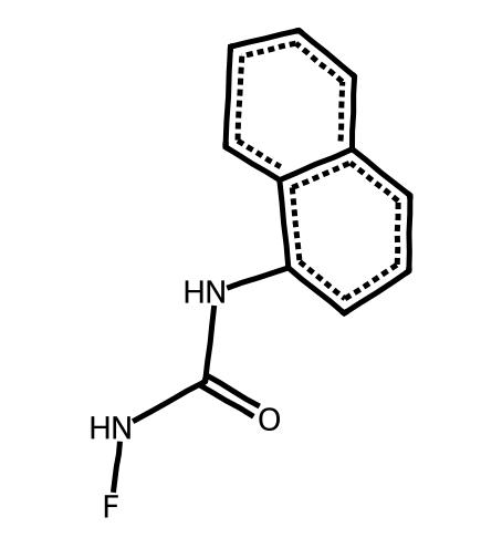 O=C(NF)Nc1cccc2ccccc12